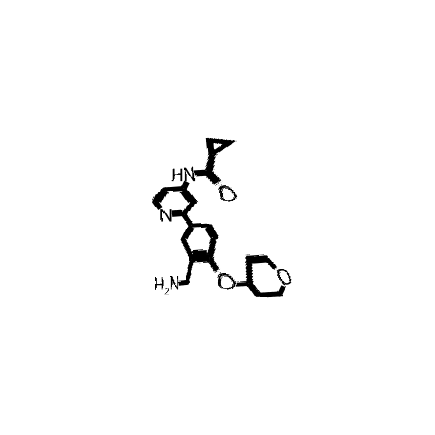 NCc1cc(-c2cc(NC(=O)C3CC3)ccn2)ccc1OC1CCOCC1